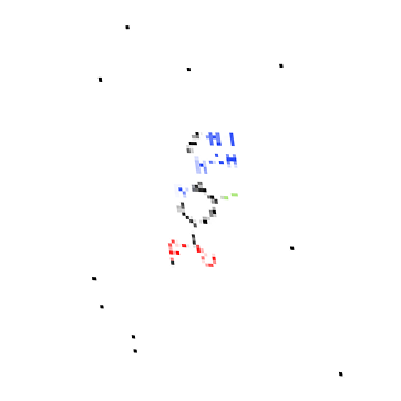 COC(=O)c1cnc(N2C=CNN2)c(F)c1